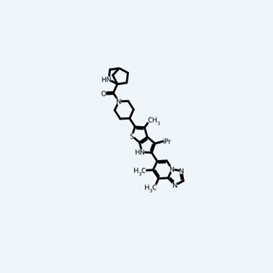 Cc1c(-c2[nH]c3sc(C4CCN(C(=O)C56CCC(CN5)C6)CC4)c(C)c3c2C(C)C)cn2ncnc2c1C